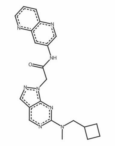 CN(CC1CCC1)c1ncc2cnn(CC(=O)Nc3cnc4cccnc4c3)c2n1